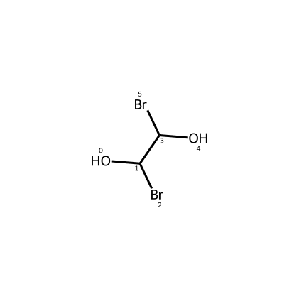 OC(Br)C(O)Br